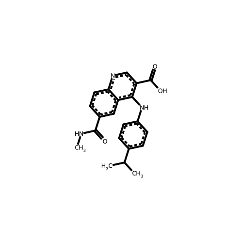 CNC(=O)c1ccc2ncc(C(=O)O)c(Nc3ccc(C(C)C)cc3)c2c1